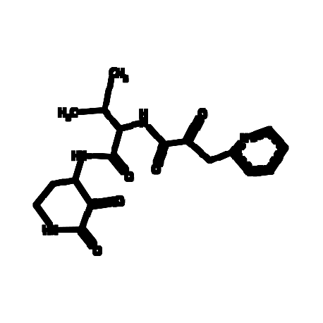 CC(C)C(NC(=O)C(=O)Cc1ccccn1)C(=O)NC1CCNC(=O)C1=O